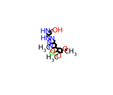 COc1cc(OC)c(Cl)c(-c2cc3cnc(N[C@@H]4CN[C@H](CO)C4)nc3n(C)c2=O)c1